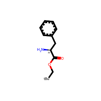 CC(C)(C)COC(=O)[C@@H](N)Cc1ccccc1